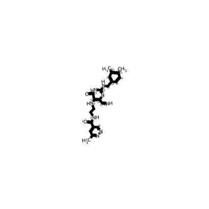 Cc1cc(C(=O)NCCNc2c(C=N)nc(NCc3ccc(C)c(C)c3)[nH]c2=O)cnn1